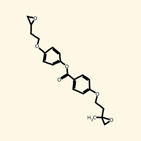 CC1(CCOc2ccc(C(=O)Oc3ccc(OCCC4CO4)cc3)cc2)CO1